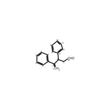 C=C(c1ccccc1)C(CC=O)c1ccccc1